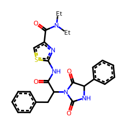 CCN(CC)C(=O)c1csc(NC(=O)C(Cc2ccccc2)N2C(=O)NC(c3ccccc3)C2=O)n1